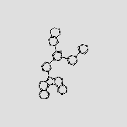 C1=Cc2cc(-c3cc(-c4cccc(-n5c6ccc7ccccc7c6c6c7ccccc7ccc65)c4)cc(-c4cccc(-c5ccccc5)c4)n3)ccc2CC1